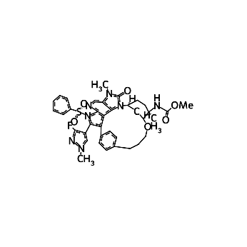 COC(=O)N[C@]1(C)CC[C@H]2C[C@H]1OCCCc1ccc(cc1)-c1c(-c3cn(C)nc3F)n(S(=O)(=O)c3ccccc3)c3ncc4c(c13)n2c(=O)n4C